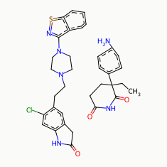 CCC1(c2ccc(N)cc2)CCC(=O)NC1=O.O=C1Cc2cc(CCN3CCN(c4nsc5ccccc45)CC3)c(Cl)cc2N1